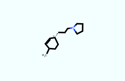 CC1C=C[C@H](CCCN2CCCC2)CC1